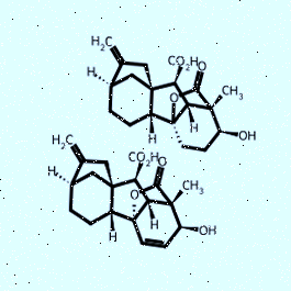 C=C1C[C@]23C[C@H]1CC[C@H]2[C@@]12C=C[C@H](O)[C@@](C)(C(=O)O1)[C@H]2[C@@H]3C(=O)O.C=C1C[C@]23C[C@H]1CC[C@H]2[C@@]12CC[C@H](O)[C@@](C)(C(=O)O1)[C@H]2[C@@H]3C(=O)O